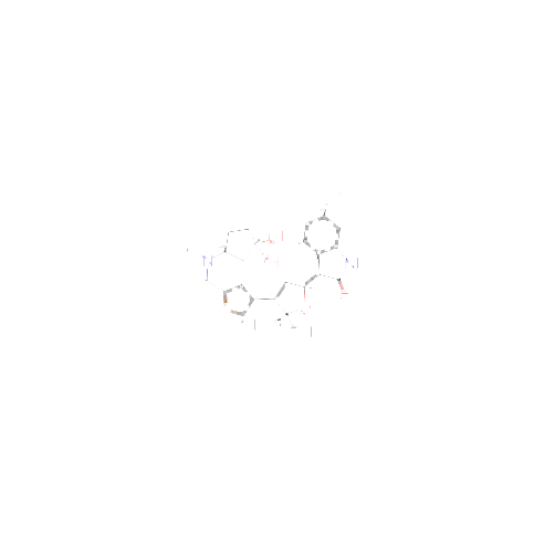 CN(Cc1cc(C2=CC(=C3C(=O)Nc4cc(F)ccc43)OC2(C)C)cs1)C1CCS(O)(O)C1